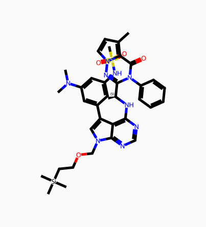 Cc1ccn2nc([C@H](C)Nc3ncnc4c3c(-c3cc(NS(C)(=O)=O)cc(N(C)C)c3)cn4COCC[Si](C)(C)C)n(-c3ccccc3)c(=O)c12